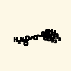 CC(C)(C)[Si](C)(C)OCCOCCOC(N)=O